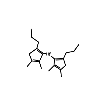 CCCC1=[C]([Hf][C]2=C(CCC)CC(C)=C2C)C(C)=C(C)C1